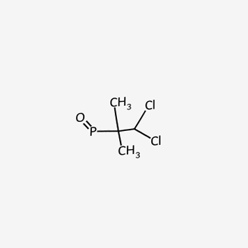 CC(C)(P=O)C(Cl)Cl